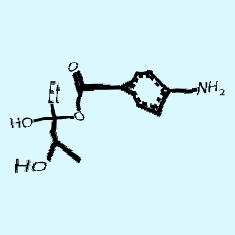 CCC(O)(OC(=O)c1ccc(N)cc1)C(C)O